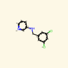 Clc1cc(Cl)cc(CNc2cc[c]nc2)c1